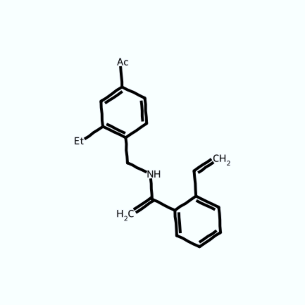 C=Cc1ccccc1C(=C)NCc1ccc(C(C)=O)cc1CC